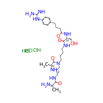 C[C@H](N)C(=O)NCCCN(CCCCNC(=O)[C@H](CO)NC(=O)CCCc1ccc(NC(=N)N)cc1)C(=O)[C@H](C)N.Cl.Cl.Cl